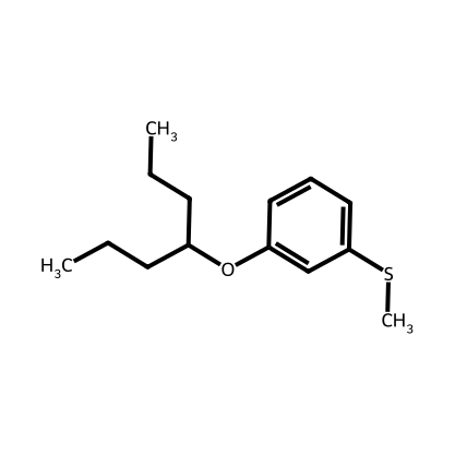 CCCC(CCC)Oc1cccc(SC)c1